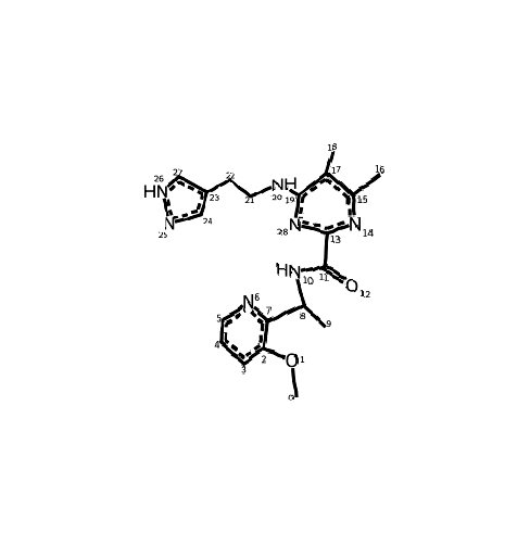 COc1cccnc1C(C)NC(=O)c1nc(C)c(C)c(NCCc2cn[nH]c2)n1